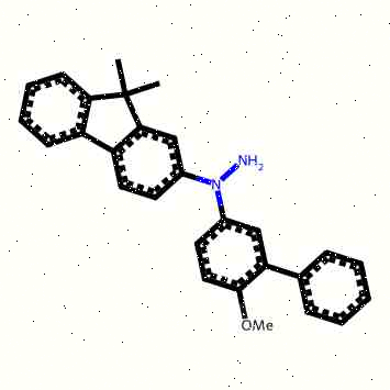 COc1ccc(N(N)c2ccc3c(c2)C(C)(C)c2ccccc2-3)cc1-c1ccccc1